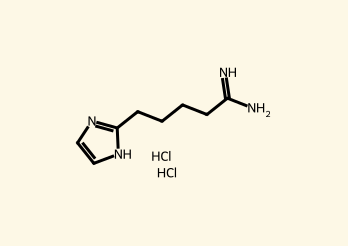 Cl.Cl.N=C(N)CCCCc1ncc[nH]1